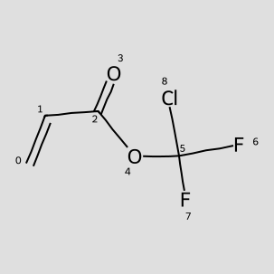 C=CC(=O)OC(F)(F)Cl